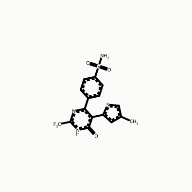 Cc1csc(-c2c(-c3ccc(S(N)(=O)=O)cc3)nc(C(F)(F)F)[nH]c2=O)c1